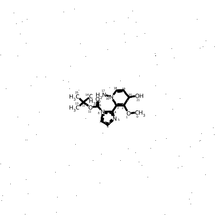 COC1=C(c2nccn2C(=O)OC(C)(C)C)N(N)C=CC1O